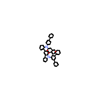 c1ccc(-c2ccc(N(c3ccc4ccccc4c3)c3ccccc3-c3ccc4c(c3)c3ccccc3n4-c3cc(-c4ccccc4)cc(-c4ccccc4)c3)cc2)cc1